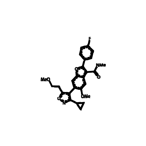 CNC(=O)c1c(-c2ccc(F)cc2)oc2cc(-c3c(C4CC4)noc3CCOC)c(OC)cc12